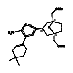 COC[C@@]12CC[C@@](COC)(C[C@@H](c3ccc(N)c(C4=CCC(C)(C)CC4)c3)C1)O2